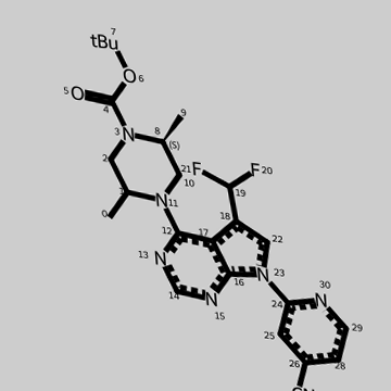 CC1CN(C(=O)OC(C)(C)C)[C@@H](C)CN1c1ncnc2c1c(C(F)F)cn2-c1cc(C#N)ccn1